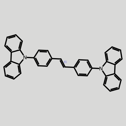 C(=C\c1ccc(-n2c3ccccc3c3ccccc32)cc1)/c1ccc(-n2c3ccccc3c3ccccc32)cc1